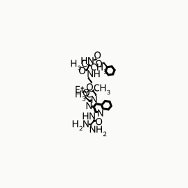 CCOCc1nc2c(NC(=O)C(N)N)nc3ccccc3c2n1CC(C)(C)OCCNC(=O)C(C)(C)NC(=O)OCc1ccccc1